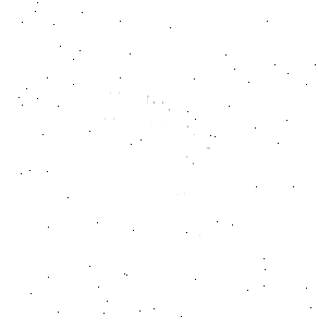 O=C(O)c1cc2n(n1)CCCN(C(=O)N1CCc3ccc(Cl)cc3C1)C2